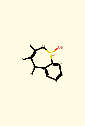 CC1=C(C)C(C)c2ccccc2[S+]([O-])C1